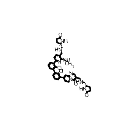 CNc1nc(-c2cccc(-c3cccc(-c4ccn5c(=O)c(CNC[C@@H]6CCC(=O)N6)cnc5c4)c3Cl)c2Cl)ccc1CNC[C@@H]1CCC(=O)N1